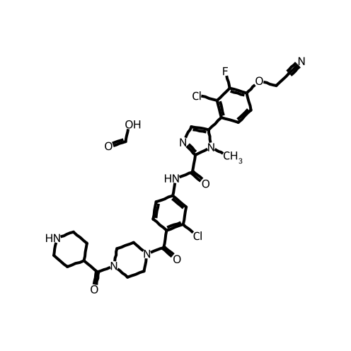 Cn1c(-c2ccc(OCC#N)c(F)c2Cl)cnc1C(=O)Nc1ccc(C(=O)N2CCN(C(=O)C3CCNCC3)CC2)c(Cl)c1.O=CO